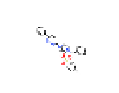 Cc1ccc(S(=O)(=O)OC23CC(CN2Cc2ccccc2)N(c2ccc(-c4ccccc4)nn2)C3)cc1